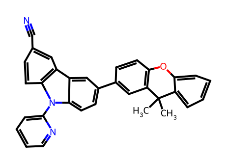 CC1(C)c2ccccc2Oc2ccc(-c3ccc4c(c3)c3cc(C#N)ccc3n4-c3ccccn3)cc21